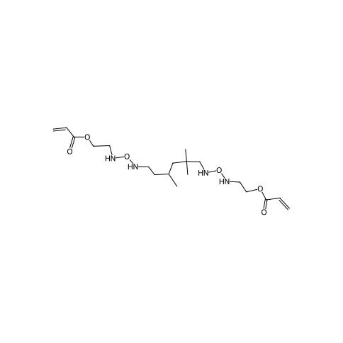 C=CC(=O)OCCNONCCC(C)CC(C)(C)CNONCCOC(=O)C=C